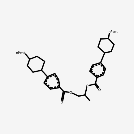 CCCCCC1CCC(c2ccc(C(=O)OCC(C)OC(=O)c3ccc(C4CCC(CCCCC)CC4)cc3)cc2)CC1